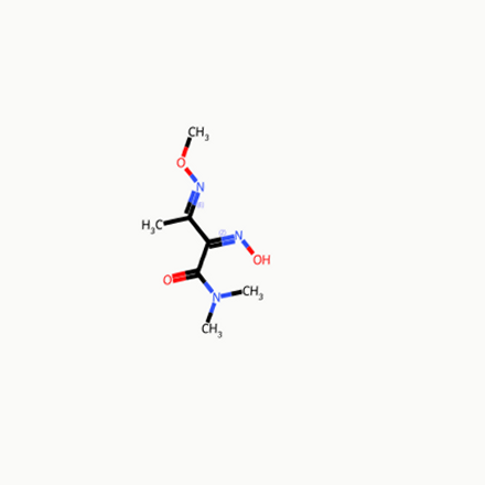 CO/N=C(C)/C(=N/O)C(=O)N(C)C